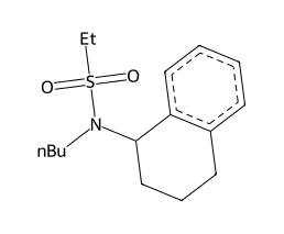 CCCCN(C1CCCc2ccccc21)S(=O)(=O)CC